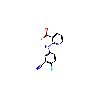 N#Cc1cc(Nc2ncccc2C(=O)O)ccc1F